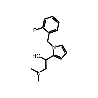 CN(C)CC(O)c1cccn1Cc1ccccc1F